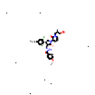 COc1cc(F)c([C@@H]2CN(c3cccn(CC(C)CO)c3=O)C(=O)C2CNC(=O)c2ccc(OC(F)(F)F)cc2)c(F)c1